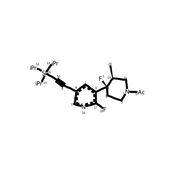 CC(=O)N1CC[C@](F)(c2cc(C#C[Si](C(C)C)(C(C)C)C(C)C)cnc2F)[C@@H](C)C1